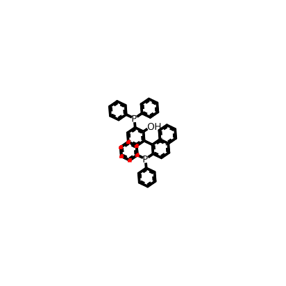 Oc1c(P(c2ccccc2)c2ccccc2)cc2ccccc2c1-c1c(P(c2ccccc2)c2ccccc2)ccc2ccccc12